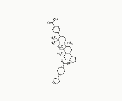 CC1(C)C(c2ccc(C(=O)O)cc2)=CCC2(C)C1CCC1(C)C2CCC2C3CCCC3(NC(=O)N3CCN(C4CCOC4)CC3)CC[C@]21C